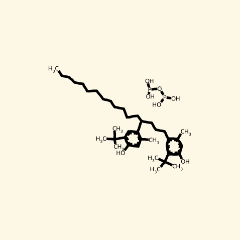 CCCCCCCCCCCCCC(CCCc1cc(C(C)(C)C)c(O)cc1C)c1cc(C(C)(C)C)c(O)cc1C.OP(O)OP(O)O